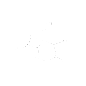 CC(OC(C)N(C)C)N(C)C.Cl.Cl